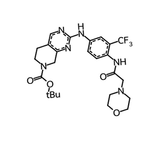 CC(C)(C)OC(=O)N1CCc2cnc(Nc3ccc(NC(=O)CN4CCOCC4)c(C(F)(F)F)c3)nc2C1